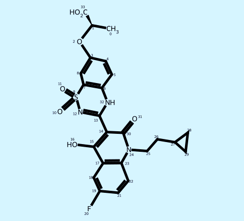 C[C@@H](Oc1ccc2c(c1)S(=O)(=O)N=C(c1c(O)c3cc(F)ccc3n(CCC3CC3)c1=O)N2)C(=O)O